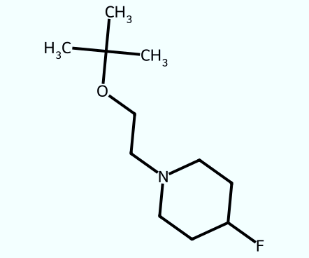 CC(C)(C)OCCN1CCC(F)CC1